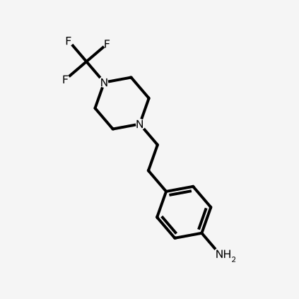 Nc1ccc(CCN2CCN(C(F)(F)F)CC2)cc1